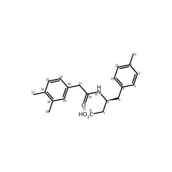 Cc1ccc(C[C@@H](CC(=O)O)NC(=O)Cc2ccc(C)c(C)c2)cc1